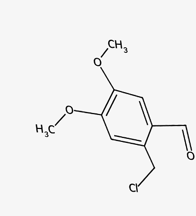 COc1cc(C=O)c(CCl)cc1OC